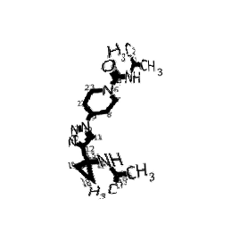 CC(C)NC(=O)N1CCC(n2cc(C3(NC(C)C)CC3)nn2)CC1